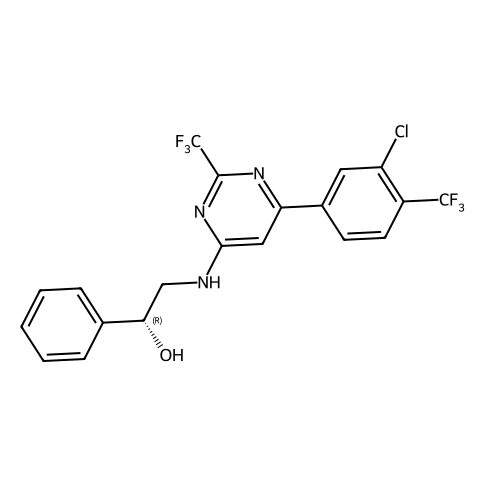 O[C@@H](CNc1cc(-c2ccc(C(F)(F)F)c(Cl)c2)nc(C(F)(F)F)n1)c1ccccc1